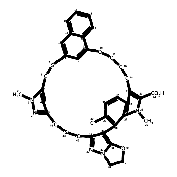 Cn1nc2cc1CSc1cc(c3ccccc3c1)OCCCc1c(C(=O)O)n(C)c3c(c(Cl)ccc13)-c1c(nn3c1OCC3)CSC2